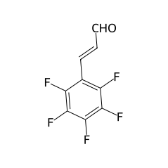 O=C/C=C/c1c(F)c(F)c(F)c(F)c1F